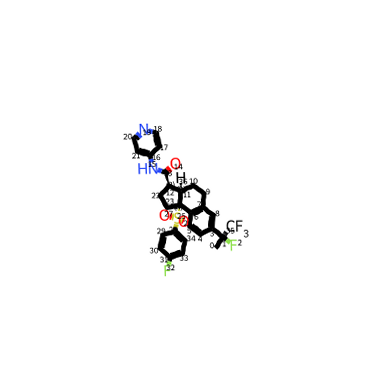 CC(F)(c1ccc2c(c1)CC[C@@H]1[C@H](C(=O)Nc3ccncc3)CC[C@]21S(=O)(=O)c1ccc(F)cc1)C(F)(F)F